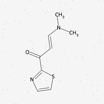 CN(C)C=CC(=O)c1nccs1